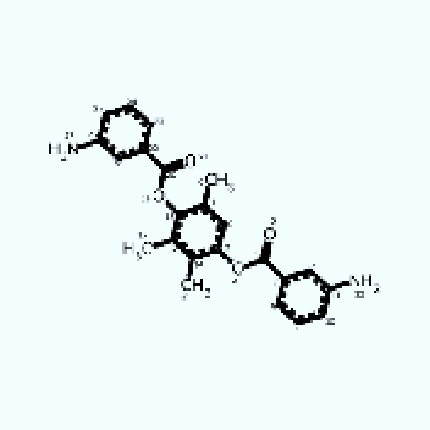 Cc1cc(OC(=O)c2cccc(N)c2)c(C)c(C)c1OC(=O)c1cccc(N)c1